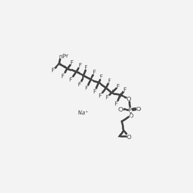 CCCC(F)C(F)(F)C(F)(F)C(F)(F)C(F)(F)C(F)(F)C(F)(F)C(F)(F)C(F)(F)OP(=O)([O-])OCC1CO1.[Na+]